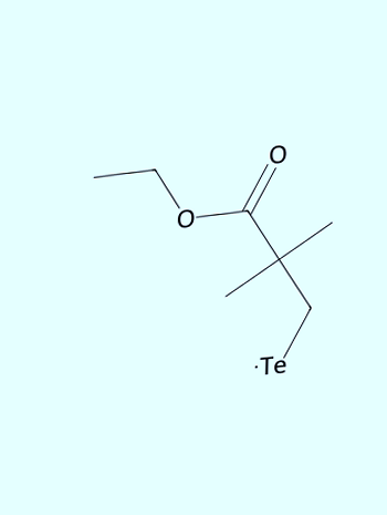 CCOC(=O)C(C)(C)C[Te]